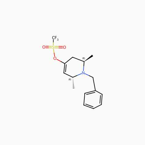 C[C@@H]1C=C(OS(=O)(=O)C(F)(F)F)C[C@@H](C)N1Cc1ccccc1